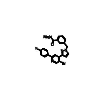 CNC(=O)c1cccc(Cn2ccc(-c3cc(-c4ccc(F)cc4)ncc3Br)n2)c1